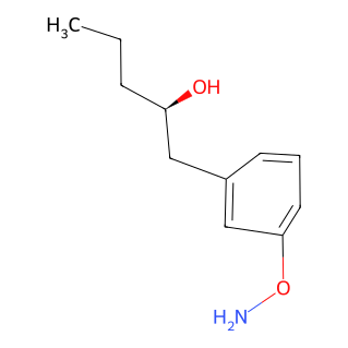 CCC[C@@H](O)Cc1cccc(ON)c1